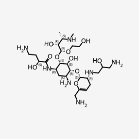 CN[C@@H](C)[C@@H](O)[C@H](OCCO)O[C@@H]1[C@@H](O)[C@H](O[C@H]2OC(CN)=CC[C@H]2NCC(O)CN)[C@@H](N)C[C@H]1NC(=O)[C@@H](O)CCN